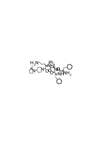 CC(C)C[C@@H](NC(=O)[C@@H](Cc1ccccc1)NC(=O)[C@H](N)Cc1ccccc1)C(=O)N[C@H](CCCN)C(=O)N1CCC(N2CCC[C@H]2C)CC1